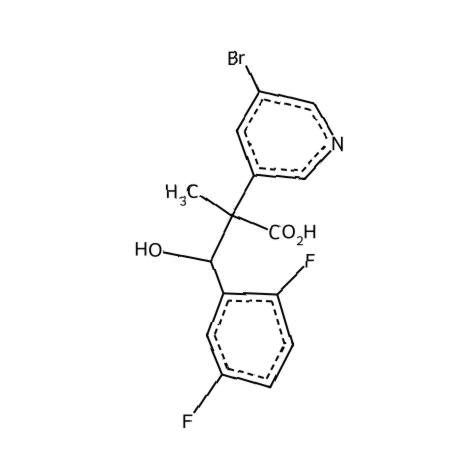 CC(C(=O)O)(c1cncc(Br)c1)C(O)c1cc(F)ccc1F